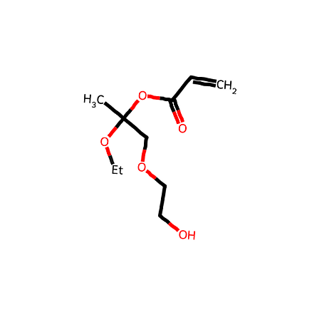 C=CC(=O)OC(C)(COCCO)OCC